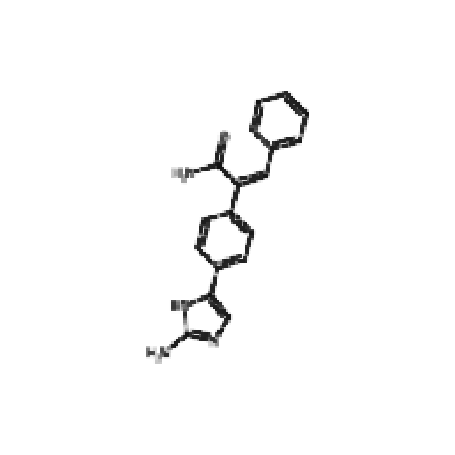 NC(=O)C(=Cc1ccccc1)c1ccc(-c2cnc(N)[nH]2)cc1